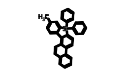 Cc1ccc2c(c1)[Si](c1ccccc1)(c1ccccc1)c1ccc3c(ccc4ccccc43)c1-2